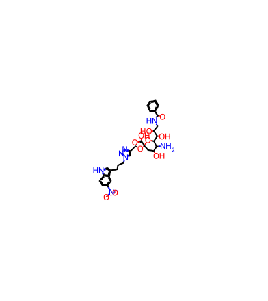 NC1C(O)CC(OCc2cn(CCCc3c[nH]c4ccc([N+](=O)[O-])cc34)nn2)(C(=O)O)OC1C(O)C(O)CNC(=O)c1ccccc1